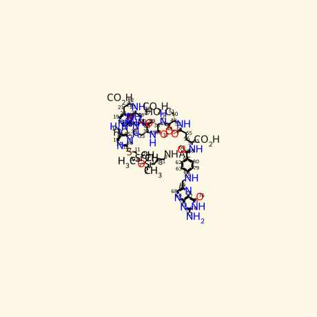 CC(=O)NCCC[Si](C)(C)O[Si](C)(C)CSc1ncc(Cn2cc(C[C@H](NC(=O)[C@H](CC(=O)O)NC(=O)[C@H](CC(=O)O)NC(=O)[C@H](CCCNC(=N)N)NC(=O)[C@H](CC(=O)O)NC(=O)CC[C@H](NC(=O)c3ccc(NCc4cnc5nc(N)[nH]c(=O)c5n4)cc3)C(=O)O)C(=O)O)nn2)cn1